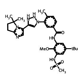 COc1c(NC(=O)c2ccc(C)c(N3C=C(c4cnc5n4C(C)(C)CC5)NN3)c2)cc(C(C)(C)C)cc1NS(C)(=O)=O